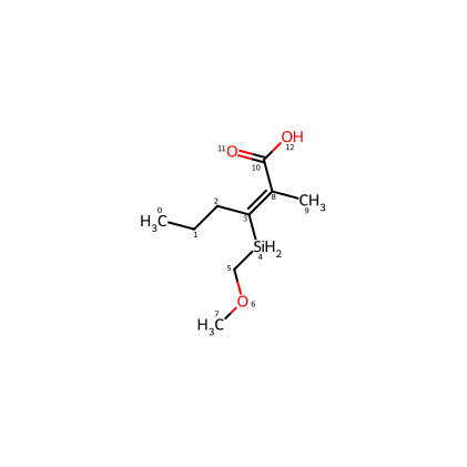 CCC/C([SiH2]COC)=C(/C)C(=O)O